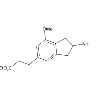 CCOC(=O)CCc1cc2c(c(OC)c1)CC(N)C2